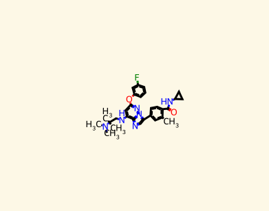 Cc1cc(-c2cnc3c(NCC(C)(C)N(C)C)cc(Oc4cccc(F)c4)nn23)ccc1C(=O)NC1CC1